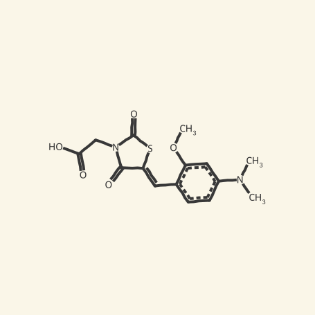 COc1cc(N(C)C)ccc1C=C1SC(=O)N(CC(=O)O)C1=O